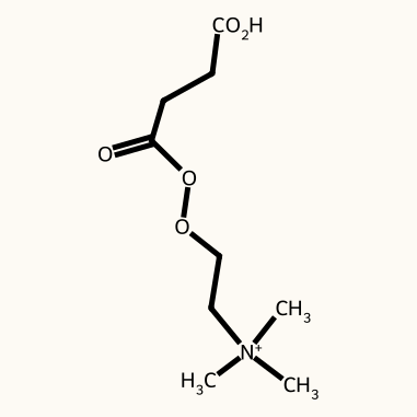 C[N+](C)(C)CCOOC(=O)CCC(=O)O